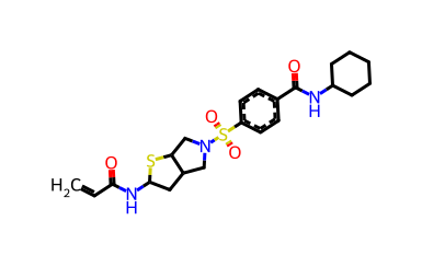 C=CC(=O)NC1CC2CN(S(=O)(=O)c3ccc(C(=O)NC4CCCCC4)cc3)CC2S1